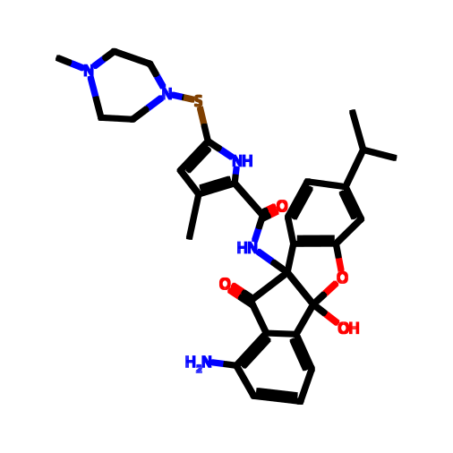 Cc1cc(SN2CCN(C)CC2)[nH]c1C(=O)NC12C(=O)c3c(N)cccc3C1(O)Oc1cc(C(C)C)ccc12